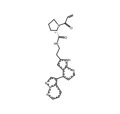 C=CC(=O)N1CCC[C@H]1C(=O)NCCc1cc2c(-c3cnn4ncccc34)ccnc2[nH]1